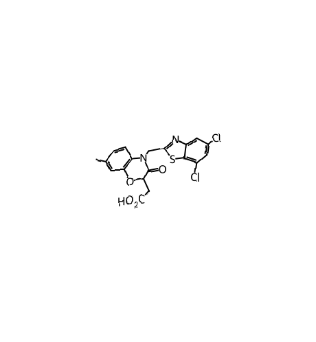 Cc1ccc2c(c1)OC(CC(=O)O)C(=O)N2Cc1nc2cc(Cl)cc(Cl)c2s1